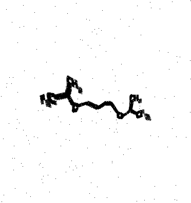 C=C(OCCCOC(=C)C(F)(F)F)C(F)(F)F